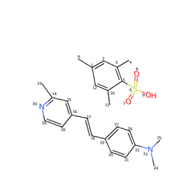 Cc1cc(C)c(S(=O)(=O)O)c(C)c1.Cc1cc(C=Cc2ccc(N(C)C)cc2)ccn1